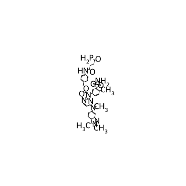 Cc1ccc(N(C(=O)OCc2ccc(NC(=O)CCC(=O)P)cc2)c2nccc(N(C)c3ccc4c(C)n(C)nc4c3)n2)cc1S(N)(=O)=O